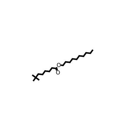 CCCCCCCCCCOC(=O)CCCCCC(C)(C)C